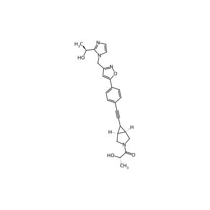 C[C@H](O)C(=O)N1C[C@@H]2C(C#Cc3ccc(-c4cc(Cn5ccnc5[C@H](C)O)no4)cc3)[C@@H]2C1